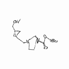 CC(C)(C)OC(=O)N1CCN(CC23CC(CO)(C2)C3)CC1